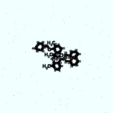 CCC(C)(Pc1c(C)cccc1CN(Cc1ccccc1)Cc1ccccc1)c1cccc(C)c1OCc1ccccc1